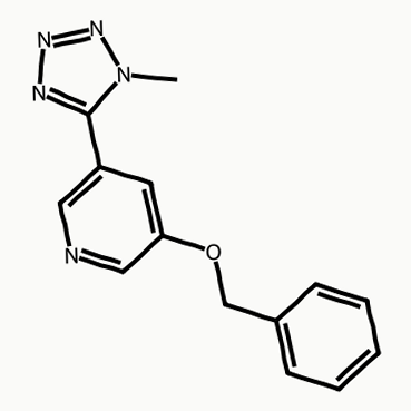 Cn1nnnc1-c1cncc(OCc2ccccc2)c1